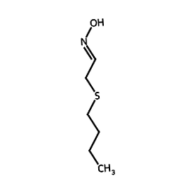 CCCCSCC=NO